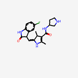 CC1=C(C(=O)NC2CCNC2)C(C)C(=CC2C(=O)Nc3ccc(F)cc32)N1